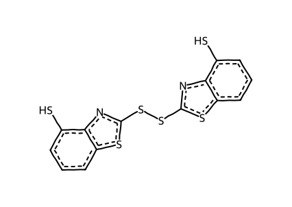 Sc1cccc2sc(SSc3nc4c(S)cccc4s3)nc12